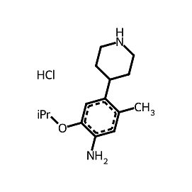 Cc1cc(N)c(OC(C)C)cc1C1CCNCC1.Cl